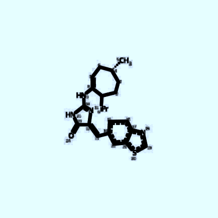 CC(C)C1CC[C@@H](C)CC=C1NC1=N/C(=C\c2ccc3ncsc3c2)C(=O)N1